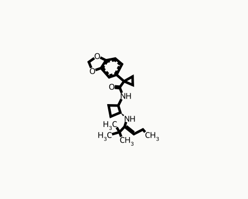 CC/C=C(\N[C@@H]1CCC1NC(=O)C1(c2ccc3c(c2)OCO3)CC1)C(C)(C)C